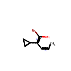 C/C=C\C(=C(/O)Br)C1CC1